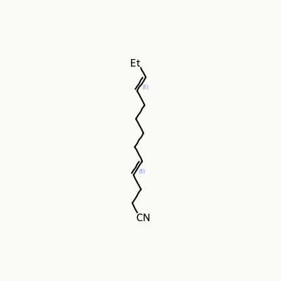 CC/C=C/CCCC/C=C/CCC#N